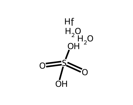 O.O.O=S(=O)(O)O.[Hf]